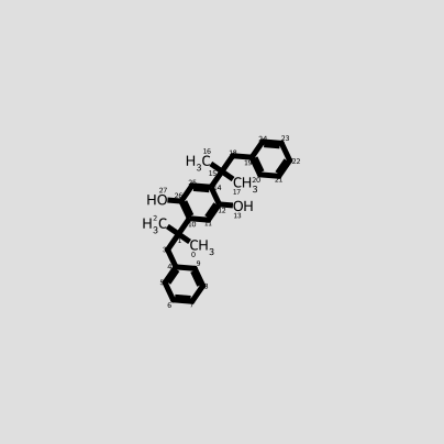 CC(C)(Cc1ccccc1)c1cc(O)c(C(C)(C)Cc2ccccc2)cc1O